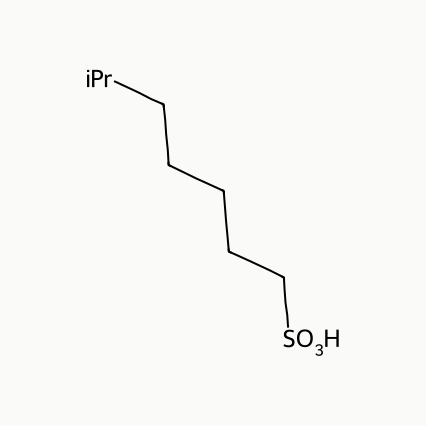 CC(C)CCCCCS(=O)(=O)O